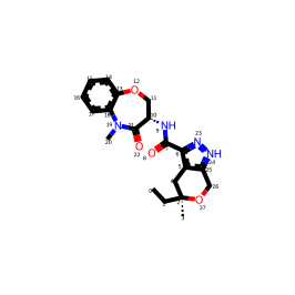 CC[C@@]1(C)Cc2c(C(=O)N[C@H]3COc4ccccc4N(C)C3=O)n[nH]c2CO1